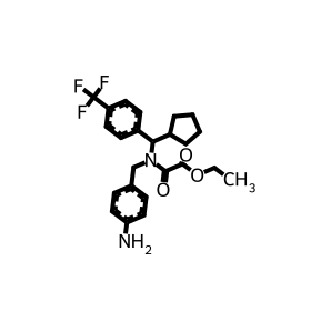 CCOC(=O)C(=O)N(Cc1ccc(N)cc1)C(c1ccc(C(F)(F)F)cc1)C1CCCC1